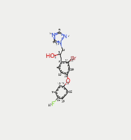 OC(Cn1cncn1)c1ccc(Oc2ccc(F)cc2)cc1Br